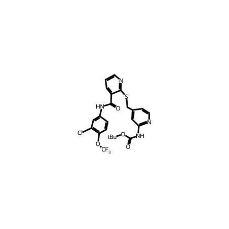 CC(C)(C)OC(=O)Nc1cc(CSc2ncccc2C(=O)Nc2ccc(OC(F)(F)F)c(Cl)c2)ccn1